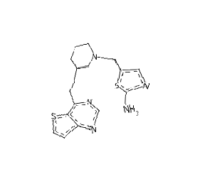 Nc1ncc(CN2CCCC(Cc3ncnc4ccsc34)C2)s1